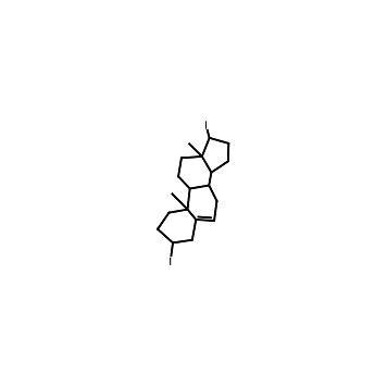 CC12CCC(I)CC1=CCC1C2CCC2(C)C(I)CCC12